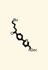 CCCCCCCCCCCc1ccc(-c2ccc(C(=O)CCCCC(C)CC)cc2)nc1